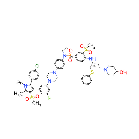 Cc1c(S(C)(=O)=O)c(-c2cc(F)cc(N3CCN(c4ccc(N5CCO[P@]5(=O)c5ccc(N[C@H](CCN6CCC(O)CC6)CSc6ccccc6)c(S(=O)(=O)C(F)(F)F)c5)cc4)CC3)c2)c(-c2ccc(Cl)cc2)n1C(C)C